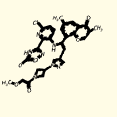 COCC(=O)N1CC(n2cc(CC(Nc3ccc(Cl)nc3-c3noc(=O)[nH]3)c3cc(C)cc4c(=O)c(C)coc34)cn2)C1